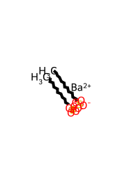 CCCCCCCCCCCCOS(=O)(=O)[O-].CCCCCCCCCCCCOS(=O)(=O)[O-].[Ba+2]